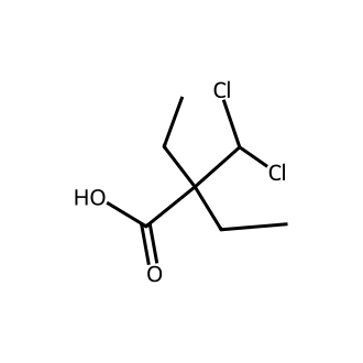 CCC(CC)(C(=O)O)C(Cl)Cl